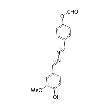 COc1cc(/C=N/N=C/c2ccc(OC=O)cc2)ccc1O